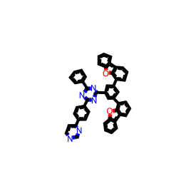 c1ccc(-c2nc(-c3ccc(-c4ccncn4)cc3)nc(-c3cc(-c4cccc5c4oc4ccccc45)cc(-c4cccc5c4oc4ccccc45)c3)n2)cc1